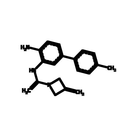 C=C1CN(C(=C)Nc2cc(-c3ccc(C)cc3)ccc2N)C1